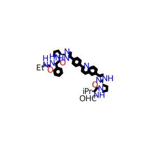 CCNC(=O)N[C@@H](C(=O)N1CCC[C@H]1c1ncc(-c2ccc(-c3ccc4cc(-c5c[nH]c([C@@H]6CCCN6C(=O)[C@@H](NC=O)C(C)C)n5)ccc4n3)cc2)[nH]1)c1ccccc1